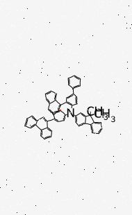 CC1(C)c2ccccc2-c2ccc(N(c3ccc(-c4cc5ccccc5c5ccccc45)cc3)c3ccc(-c4ccccc4)cc3-c3cccc4ccccc34)cc21